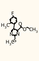 CCOC(=O)c1nc(SC)ncc1-c1ccc(F)cc1C